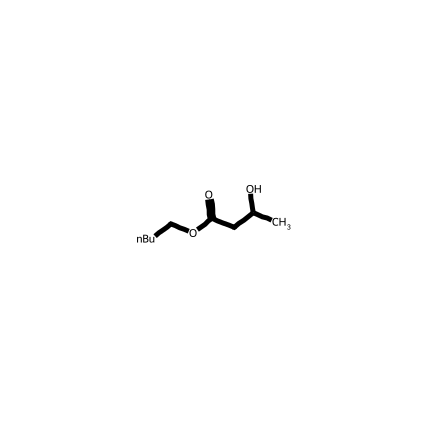 CCCCCOC(=O)CC(C)O